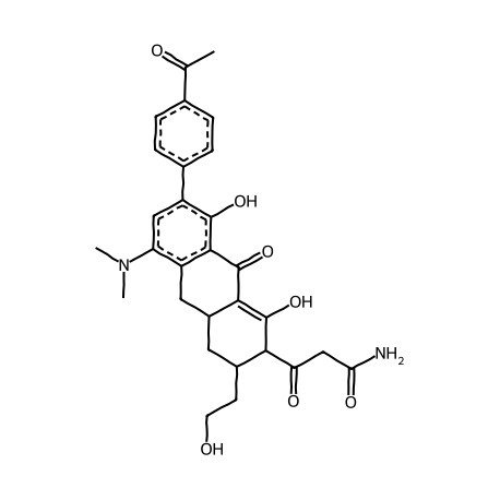 CC(=O)c1ccc(-c2cc(N(C)C)c3c(c2O)C(=O)C2=C(O)C(C(=O)CC(N)=O)C(CCO)CC2C3)cc1